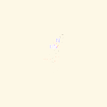 O=c1oc(C(CC2CC2)CC2CC2)cc(O)c1C(c1cccc(NS(=O)(=O)c2ccc3ccccc3n2)c1)C1CC1